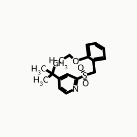 CCOc1ccccc1CS(=O)(=O)c1cc(C(C)(C)C)ccn1